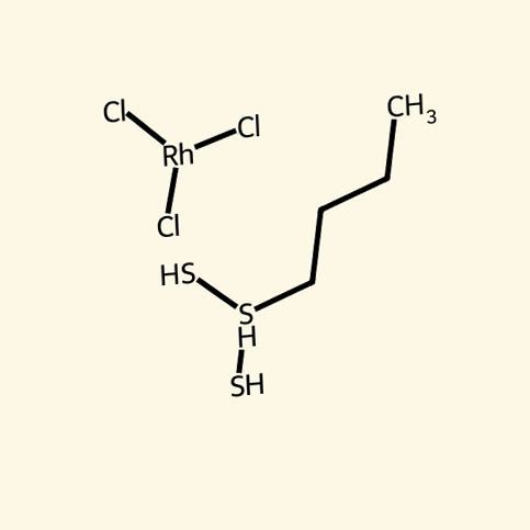 CCCC[SH](S)S.[Cl][Rh]([Cl])[Cl]